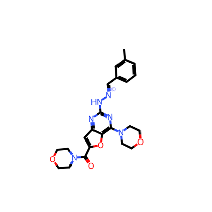 Cc1cccc(/C=N/Nc2nc(N3CCOCC3)c3oc(C(=O)N4CCOCC4)cc3n2)c1